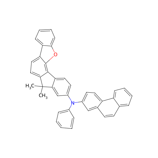 CC1(C)c2cc(N(c3ccccc3)c3ccc4c(ccc5ccccc54)c3)ccc2-c2c1ccc1c2oc2ccccc21